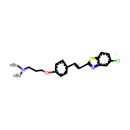 CCCCN(CCCC)CCCOc1ccc(/C=C/c2nc3cc(Cl)ccc3s2)cc1